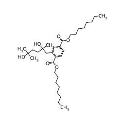 CCCCCCCCOC(=O)c1ccc(C(=O)OCCCCCCCC)c(CC(C)(O)CCC(C)(C)O)c1